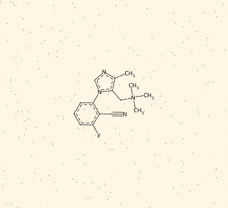 Cc1ncn(-c2cccc(F)c2C#N)c1C[N+](C)(C)C